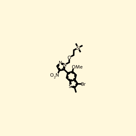 COc1cc2c(Br)c(C)sc2cc1-c1c([N+](=O)[O-])cnn1COCC[Si](C)(C)C